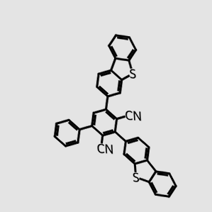 N#Cc1c(-c2ccccc2)cc(-c2ccc3c(c2)sc2ccccc23)c(C#N)c1-c1ccc2c(c1)sc1ccccc12